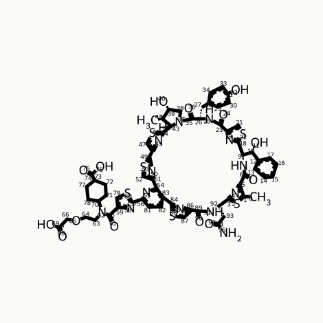 Cc1sc2nc1C(=O)N[C@@H]([C@H](O)c1ccccc1)c1nc(cs1)C(=O)N[C@@H](Cc1ccc(O)cc1)C(=O)N1C[C@H](O)[C@H](C)[C@H]1c1nc(cs1)-c1nc(cs1)-c1nc(-c3nc(C(=O)N(CCOCC(=O)O)C4CCC(C(=O)O)CC4)cs3)ccc1-c1nc(cs1)C(=O)N[C@H]2CC(N)=O